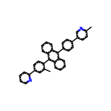 Cc1ccc(-c2ccc(-c3c4ccccc4c(-c4ccc(-c5ccccn5)cc4C)c4ccccc34)cc2)cn1